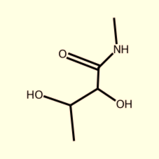 CNC(=O)C(O)C(C)O